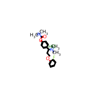 CN(C)C(=O)Oc1ccc(C(CCOc2ccccc2F)N(C)C)cc1.Cl